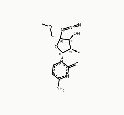 COC[C@@]1(N=[N+]=[N-])O[C@@H](n2ccc(N)nc2=O)[C@H](F)[C@@H]1O